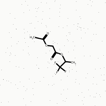 CC(=O)OCC(=O)OC(C)C(F)(F)F